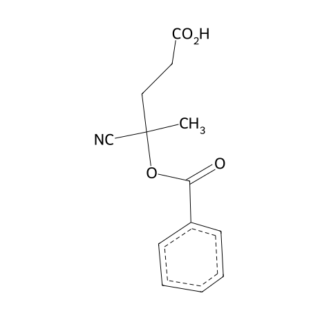 CC(C#N)(CCC(=O)O)OC(=O)c1ccccc1